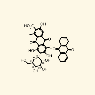 Cc1c(C(=O)O)c(O)cc2c1C(=O)c1c(O)c([C@H]3O[C@H](CO)[C@@H](O)[C@H](O)[C@H]3O)c(O)c(O)c1C2=O.O=C1C2=C(CCC=C2)C(=O)C2=C1CC=CC2